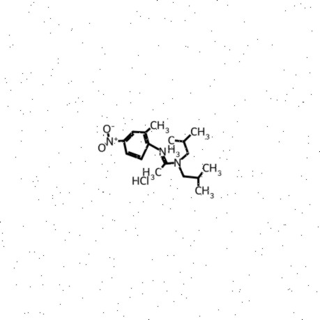 C/C(=N\c1ccc([N+](=O)[O-])cc1C)N(CC(C)C)CC(C)C.Cl